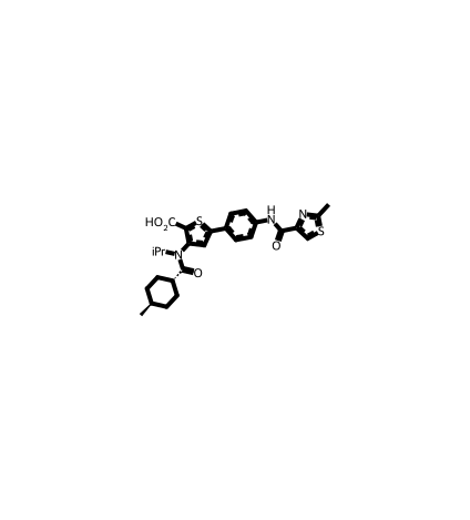 Cc1nc(C(=O)Nc2ccc(-c3cc(N(C(=O)[C@H]4CC[C@H](C)CC4)C(C)C)c(C(=O)O)s3)cc2)cs1